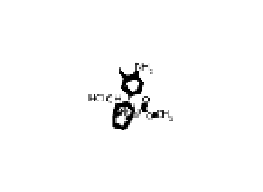 COC(=O)[C@@H]1C2CCC(C[C@@H]1c1ccc(N)c(I)c1)N2C.Cl.Cl